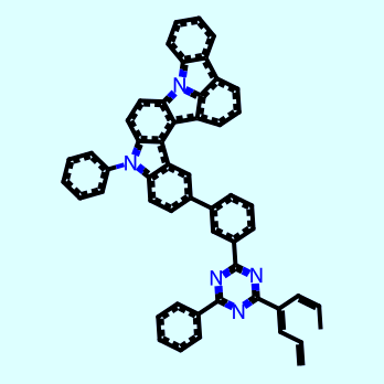 C=C/C=C(\C=C/C)c1nc(-c2ccccc2)nc(-c2cccc(-c3ccc4c(c3)c3c5c6cccc7c8ccccc8n(c5ccc3n4-c3ccccc3)c76)c2)n1